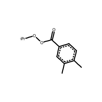 C[C](C)OOC(=O)c1ccc(C)c(C)c1